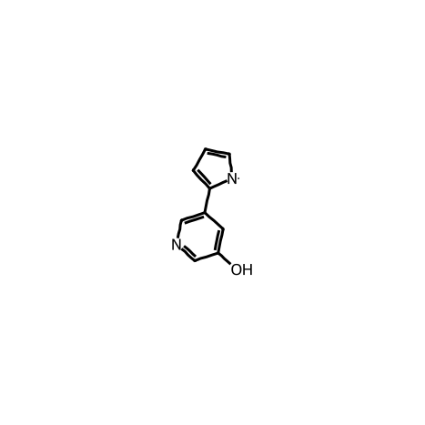 Oc1cncc(C2=CC=C[N]2)c1